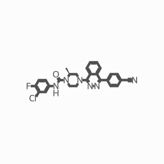 C[C@H]1CN(c2nnc(-c3ccc(C#N)cc3)c3ccccc23)CCN1C(=O)Nc1ccc(F)c(Cl)c1